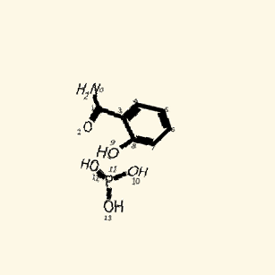 NC(=O)c1ccccc1O.OP(O)O